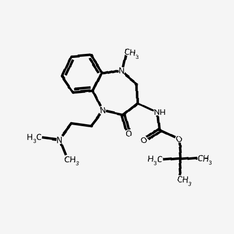 CN(C)CCN1C(=O)C(NC(=O)OC(C)(C)C)CN(C)c2ccccc21